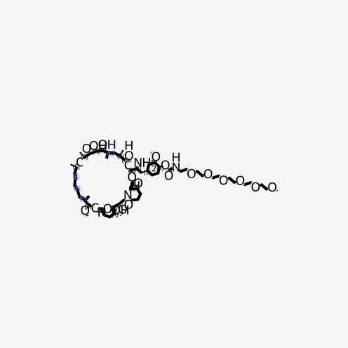 COCCOCCOCCOCCOCCOCCNC(=O)O[C@@H]1CC[C@@H](C[C@@H](N)[C@@H]2C[C@@H](O)[C@H](C)/C=C(\C)[C@@H](O)[C@@H](O)C(=O)[C@H](C)C[C@H](C)/C=C/C=C/C=C(\C)[C@@H](OC)C[C@@H]3CC[C@@H](C)[C@@](O)(O3)C(=O)C(=O)N3CCCC[C@H]3C(=O)O2)C[C@H]1OC